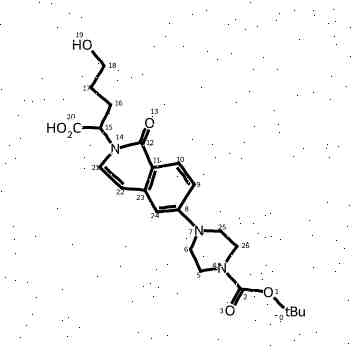 CC(C)(C)OC(=O)N1CCN(c2ccc3c(=O)n(C(CCCO)C(=O)O)ccc3c2)CC1